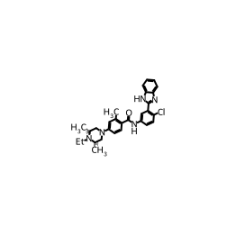 CCN1[C@H](C)CN(c2ccc(C(=O)Nc3ccc(Cl)c(-c4nc5ccccc5[nH]4)c3)c(C)c2)C[C@@H]1C